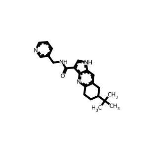 CC(C)(C)C1CCc2nc3c(C(=O)NCc4cccnc4)c[nH]c3cc2C1